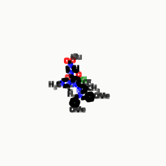 COc1ccc(CN(Cc2ccc(OC)cc2)c2cc(C)c(C(F)(F)F)c(-c3nc(N4CCN(C)C[C@@H]4C)c4c(c3Cl)OC[C@H]3CN(C(=O)OC(C)(C)C)CCN3C4=O)n2)cc1